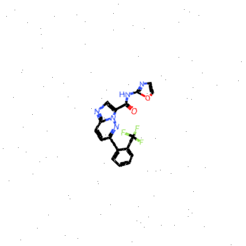 O=C(Nc1ncco1)c1cnc2ccc(-c3ccccc3C(F)(F)F)nn12